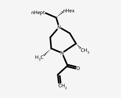 C=CC(=O)N1[C@H](C)CN([C@@H](CCCCCC)CCCCCCC)C[C@@H]1C